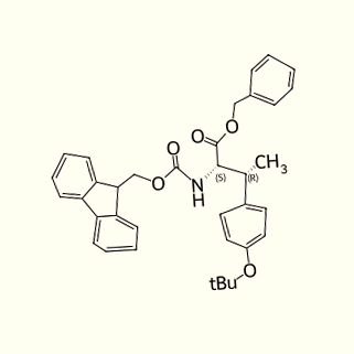 C[C@H](c1ccc(OC(C)(C)C)cc1)[C@H](NC(=O)OCC1c2ccccc2-c2ccccc21)C(=O)OCc1ccccc1